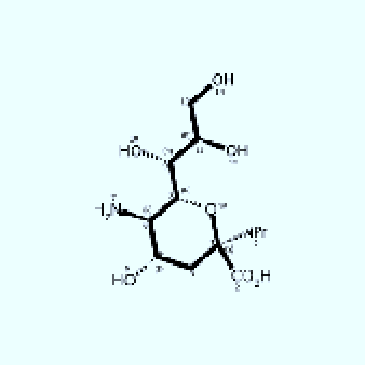 CC(C)[C@]1(C(=O)O)C[C@H](O)[C@@H](N)[C@H]([C@H](O)[C@H](O)CO)O1